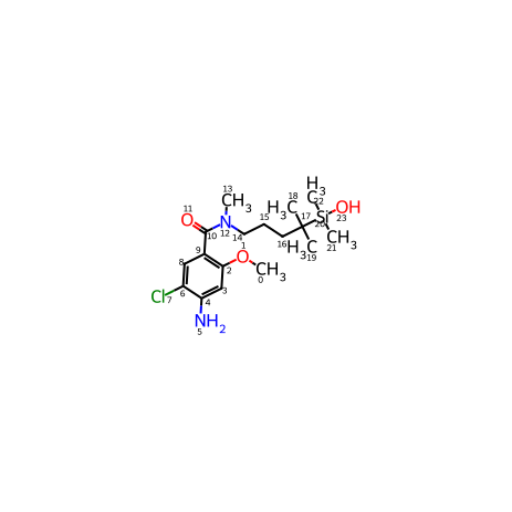 COc1cc(N)c(Cl)cc1C(=O)N(C)CCCC(C)(C)[Si](C)(C)O